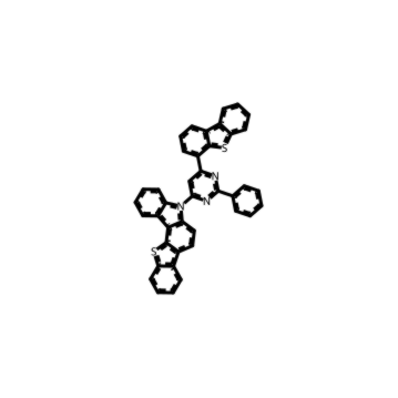 c1ccc(-c2nc(-c3cccc4c3sc3ccccc34)cc(-n3c4ccccc4c4c5sc6ccccc6c5ccc43)n2)cc1